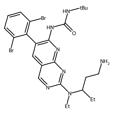 CCC(CCN)N(CC)c1ncc2cc(-c3c(Br)cccc3Br)c(NC(=O)NC(C)(C)C)nc2n1